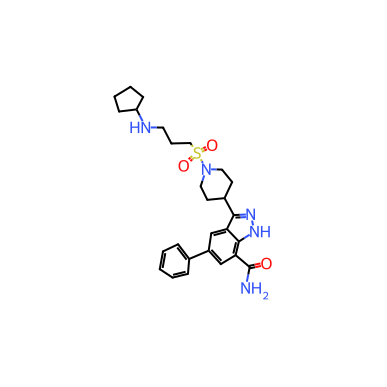 NC(=O)c1cc(-c2ccccc2)cc2c(C3CCN(S(=O)(=O)CCCNC4CCCC4)CC3)n[nH]c12